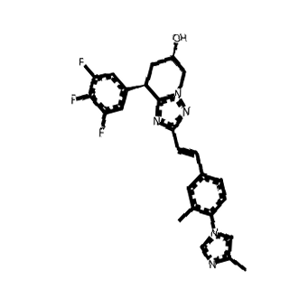 Cc1cn(-c2ccc(/C=C/c3nc4n(n3)C[C@H](O)C[C@@H]4c3cc(F)c(F)c(F)c3)cc2C)cn1